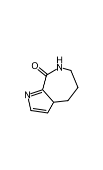 O=C1NCCCC2C=CN=C12